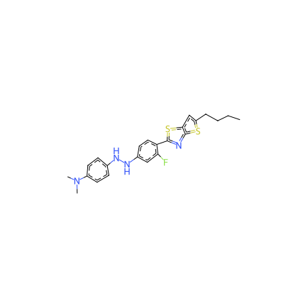 CCCCc1cc2sc(-c3ccc(NNc4ccc(N(C)C)cc4)cc3F)nc2s1